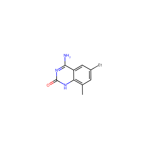 CCc1cc(C)c2[nH]c(=O)nc(N)c2c1